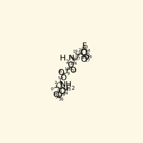 CC(CC(N)COC(=O)/C=C/C(=O)OCC(N)CC(C)c1cc(F)cc2ccoc12)c1cc(F)cc2ccoc12